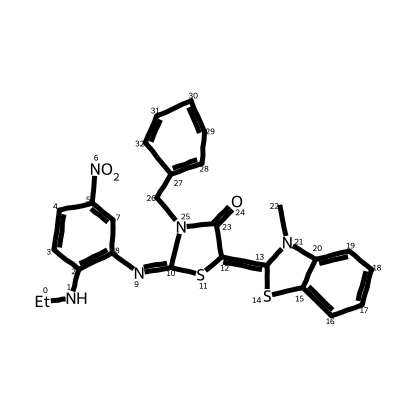 CCNc1ccc([N+](=O)[O-])cc1/N=C1/S/C(=C2\Sc3ccccc3N2C)C(=O)N1Cc1ccccc1